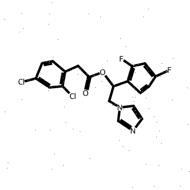 O=C(Cc1ccc(Cl)cc1Cl)OC(Cn1ccnc1)c1ccc(F)cc1F